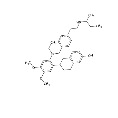 CCC(C)NCCc1ccc(CN(CC)c2cc(OC)c(OC)cc2C2CCc3cc(O)ccc3C2)cc1